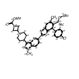 COC(=O)N1CC(N2CCC(c3nn(C)c4ccc(-c5nc6cc(C)c([C@H](OC(C)(C)C)C(C)=O)c(-c7ccc(Cl)cc7)c6s5)nc34)CC2)C1